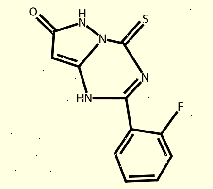 O=c1cc2[nH]c(-c3ccccc3F)nc(=S)n2[nH]1